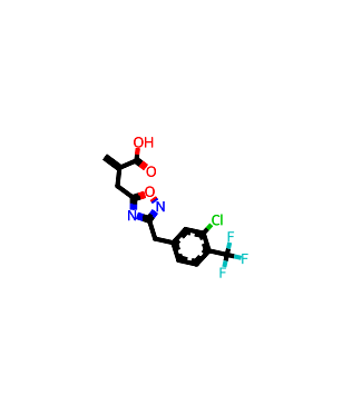 C=C(Cc1nc(Cc2ccc(C(F)(F)F)c(Cl)c2)no1)C(=O)O